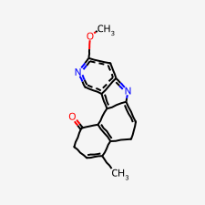 COc1cc2c(cn1)=C1C(=CCC3=C1C(=O)CC=C3C)N=2